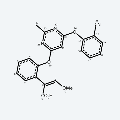 COC=C(C(=O)O)c1ccccc1Oc1cc(Oc2ccccc2C#N)nc(C)n1